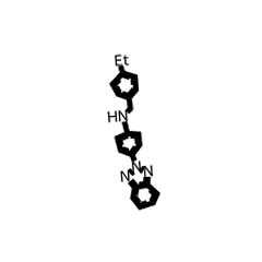 CCc1ccc(CNc2ccc(-n3nc4ccccc4n3)cc2)cc1